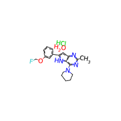 Cc1nc(N2CCCCC2)c2[nH]c(-c3cccc(OCF)c3)cc2n1.Cl.O